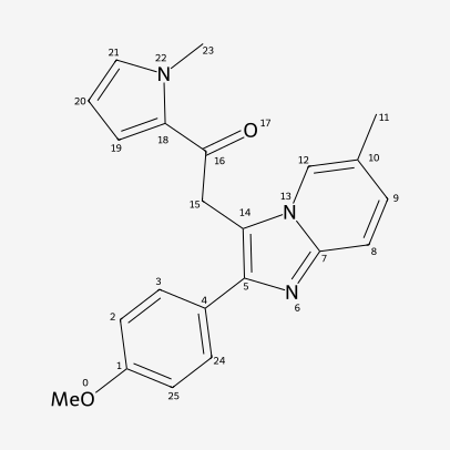 COc1ccc(-c2nc3ccc(C)cn3c2CC(=O)c2cccn2C)cc1